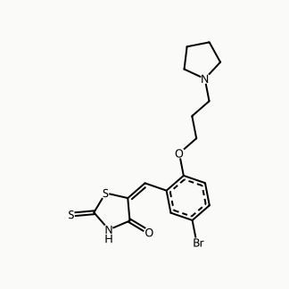 O=C1NC(=S)SC1=Cc1cc(Br)ccc1OCCCN1CCCC1